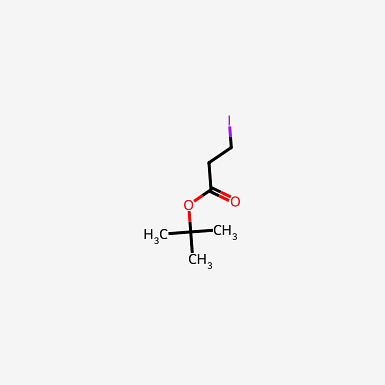 CC(C)(C)OC(=O)CCI